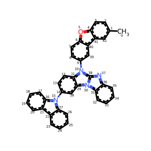 Cc1ccc2oc3ccc(-n4c5ccc(-n6c7ccccc7c7ccccc76)cc5n5c6ccccc6nc45)cc3c2c1